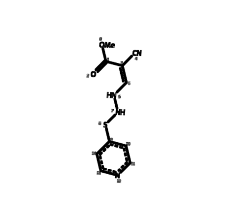 COC(=O)C(C#N)=CNNSc1ccncc1